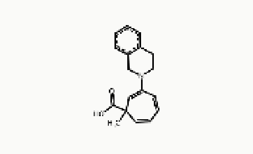 CC1(C(=O)O)C=CC=CC(N2CCc3ccccc3C2)=C1